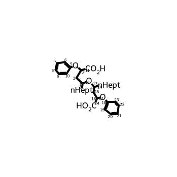 CCCCCCCC(CC(Oc1ccccc1)C(=O)O)OC(CCCCCCC)CC(Oc1ccccc1)C(=O)O